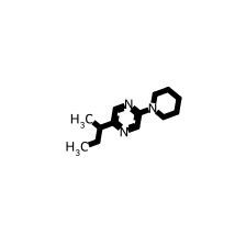 CCC(C)c1cnc(N2CCCCC2)cn1